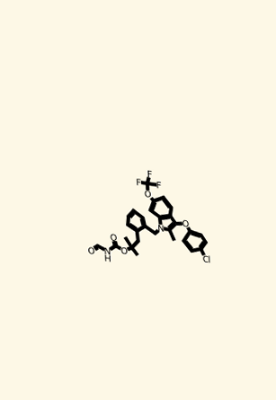 Cc1c(Oc2ccc(Cl)cc2)c2ccc(OC(F)(F)F)cc2n1Cc1ccccc1CC(C)(C)OC(=O)NC=O